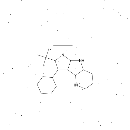 CC(C)(C)C1C(C2CCCCC2)C2C3NCCCC3NC2N1C(C)(C)C